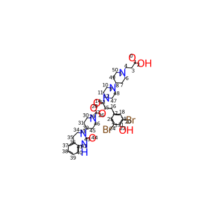 O=C(O)CCN1CCC(N2CCN(C(=O)[C@@H](Cc3cc(Br)c(O)c(Br)c3)OC(=O)N3CCC(N4CCc5ccccc5NC4=O)CC3)CC2)CC1